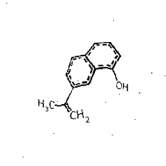 C=C(C)c1ccc2cccc(O)c2c1